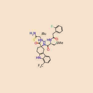 CCC(C)[C@H](NC(=O)[C@@]1(NC(=O)[C@H](CSC)NC(=O)Cc2ccccc2F)CCc2[nH]c3c(C(F)(F)F)cccc3c2C1)C(N)=S